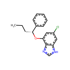 CCC[C@@H](Oc1cc(Cl)cc2[nH]cnc12)c1ccccc1